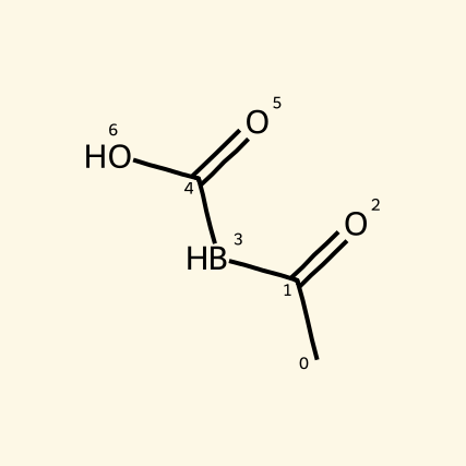 CC(=O)BC(=O)O